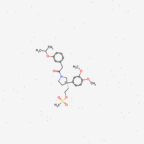 COc1ccc([C@@]2(CCOS(C)(=O)=O)CCN(C(=O)Cc3cccc(OC(C)C)c3)C2)cc1OC